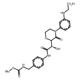 CCOC(=O)CNc1cccc(N2CCOC([C@@H](O)C(=O)Nc3ccc(CNC(=O)OC(C)(C)C)cc3)C2=O)c1